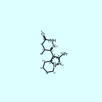 CC1CC(=O)NN=C1c1c(C(C)C)nn2c1CCCC2